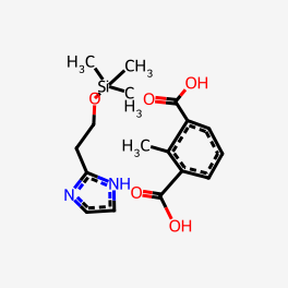 C[Si](C)(C)OCCc1ncc[nH]1.Cc1c(C(=O)O)cccc1C(=O)O